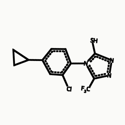 FC(F)(F)c1nnc(S)n1-c1ccc(C2CC2)cc1Cl